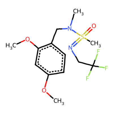 COc1ccc(CN(C)S(C)(=O)=NCC(F)(F)F)c(OC)c1